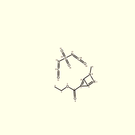 CCOC(=O)c1c2nn(C)c1-2.O=C=NS(=O)(=O)N=C=O